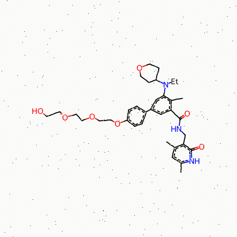 CCN(c1cc(-c2ccc(OCCOCCOCCO)cc2)cc(C(=O)NCc2c(C)cc(C)[nH]c2=O)c1C)C1CCOCC1